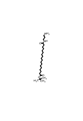 CC(C)(C)OC(=O)CCCCCCCCCCCCCCCCC(=O)NCCCN